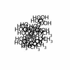 C[C@H](CC[C@@H](O[C@@H]1O[C@H](CO[C@H]2O[C@H](CO)[C@@H](O)[C@H](O)[C@H]2O)[C@@H](O)[C@H](O)[C@H]1O[C@@H]1O[C@H](CO)[C@@H](O[C@H]2O[C@H](CO)[C@@H](O)[C@H](O)[C@H]2O)[C@H](O)[C@H]1O)C(C)(C)O)C1CC[C@@]2(C)C3CC=C4C(CC[C@H](O[C@@H]5O[C@H](CO)[C@@H](O)[C@H](O)[C@H]5O)C4(C)C)[C@]3(C)[C@H](O)C[C@]12C